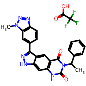 CC(c1ccccc1)n1c(=O)[nH]c2cc3[nH]nc(-c4ccc5nnn(C)c5c4)c3cc2c1=O.O=C(O)C(F)(F)F